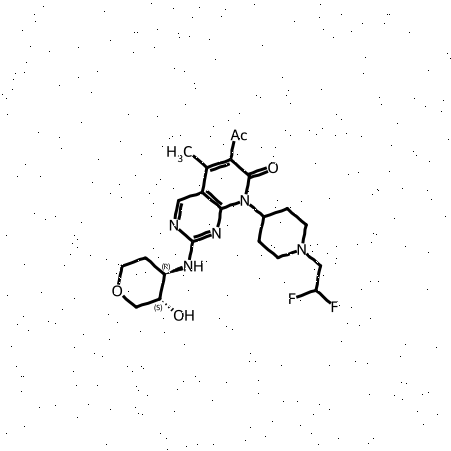 CC(=O)c1c(C)c2cnc(N[C@@H]3CCOC[C@H]3O)nc2n(C2CCN(CC(F)F)CC2)c1=O